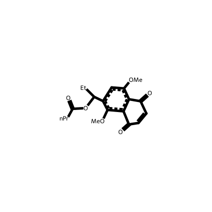 CCCC(=O)OC(CC)c1cc(OC)c2c(c1OC)C(=O)C=CC2=O